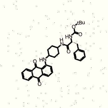 CC(C)(C)OC(=O)N[C@H](Cc1ccccc1)C(=O)NC1CCC(Nc2cccc3c2C(=O)c2ccccc2C3=O)CC1